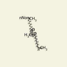 CCCCCCCCCC(C)CCCCCCCC(=O)OCC(C)OC(=O)CCCCCCCCC1CC1C